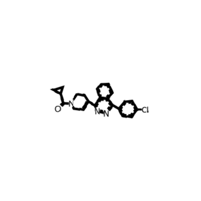 O=C(C1CC1)N1CC=C(c2nnc(-c3ccc(Cl)cc3)c3ccccc23)CC1